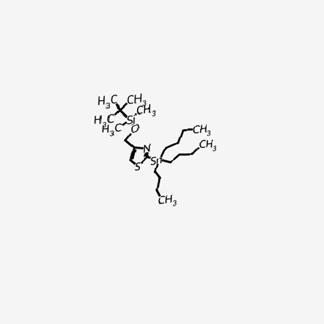 CCC[CH2][Sn]([CH2]CCC)([CH2]CCC)[c]1nc(CO[Si](C)(C)C(C)(C)C)cs1